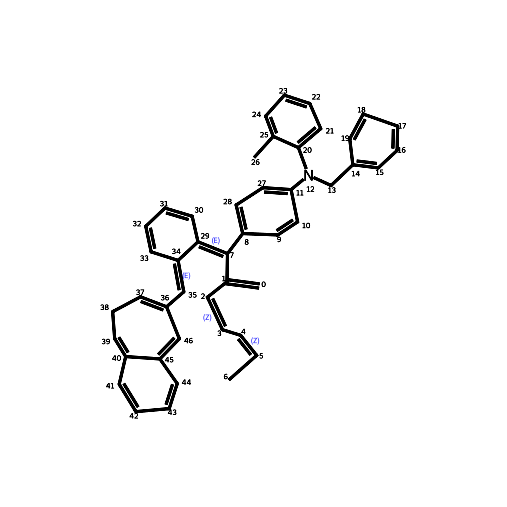 C=C(/C=C\C=C/C)/C(c1ccc(N(Cc2ccccc2)c2ccccc2C)cc1)=c1/cccc/c1=C\C1=CCC=c2ccccc2=C1